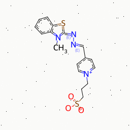 Cn1/c(=N\N=C\c2cc[n+](CCCS(=O)(=O)[O-])cc2)sc2ccccc21